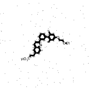 CCOCCOc1cc(C)c(-c2cccc(-c3ccc4cc(CCC(=O)O)ccc4n3)c2)c(C)c1